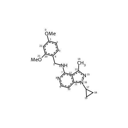 COc1ccc(CNc2nccc3c2c(C)nn3C2CC2)c(OC)c1